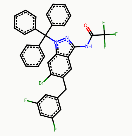 O=C(Nc1nn(C(c2ccccc2)(c2ccccc2)c2ccccc2)c2cc(Br)c(Cc3cc(F)cc(F)c3)cc12)C(F)(F)F